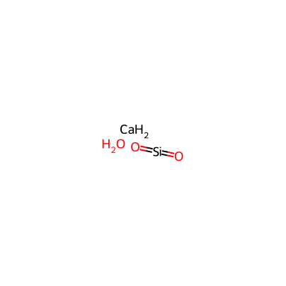 O.O=[Si]=O.[CaH2]